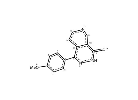 COc1ccc(-c2n[nH]c(=O)c3cnccc23)cc1